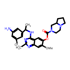 COc1cc2nc(C)nc(NC(C)c3cc(N)cc(C(F)(F)F)c3)c2cc1OC(=O)N1CCN2CCCC2C1